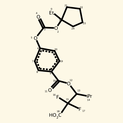 CCC1(OC(=O)Oc2ccc(C(=O)OC(C(C)C)C(F)(F)C(=O)O)cc2)CCCC1